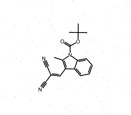 Cc1c(C=C(C#N)C#N)c2ccccc2n1C(=O)OC(C)(C)C